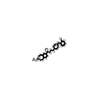 CC(=O)N1CCc2ccc(C(=O)CCCC3CCN(Cc4ccccc4C)CC3)cc2CC1